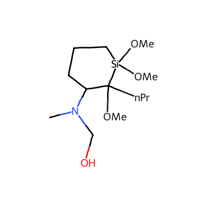 CCCC1(OC)C(N(C)CO)CCC[Si]1(OC)OC